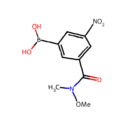 CON(C)C(=O)c1cc(B(O)O)cc([N+](=O)[O-])c1